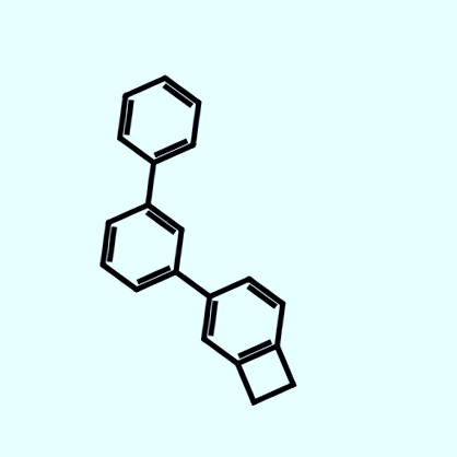 c1ccc(-c2cccc(-c3ccc4c(c3)CC4)c2)cc1